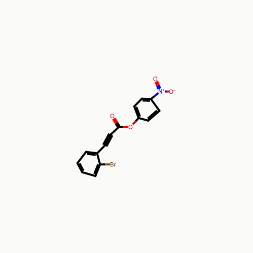 O=C(C#Cc1ccccc1Br)Oc1ccc([N+](=O)[O-])cc1